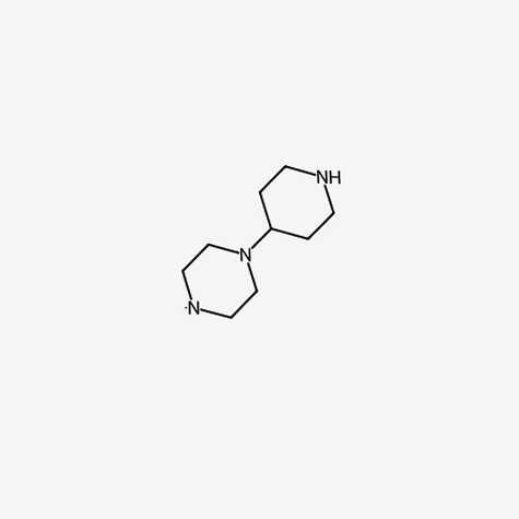 C1CN(C2CCNCC2)CC[N]1